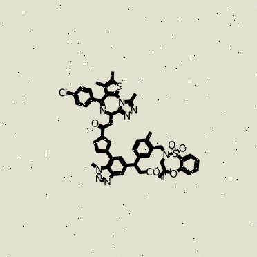 Cc1ccc(C(CC(=O)O)c2cc(C3CCC(C(=O)CC4N=C(c5ccc(Cl)cc5)c5c(sc(C)c5C)-n5c(C)nnc54)C3)c3c(c2)nnn3C)cc1CN1CC(C)Oc2ccccc2S1(=O)=O